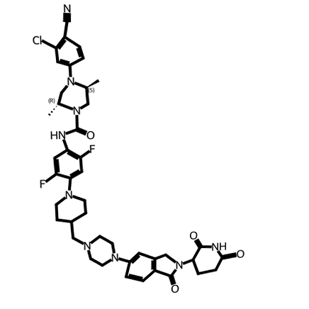 C[C@@H]1CN(c2ccc(C#N)c(Cl)c2)[C@@H](C)CN1C(=O)Nc1cc(F)c(N2CCC(CN3CCN(c4ccc5c(c4)CN(C4CCC(=O)NC4=O)C5=O)CC3)CC2)cc1F